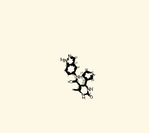 CC1=C(C(=O)Nc2ccc3[nH]ncc3c2)C(c2ccsc2)NC(=O)N1